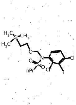 CCCS(=O)(=O)N(COCC[Si](C)(C)C)c1ccc(Cl)c(I)c1Cl